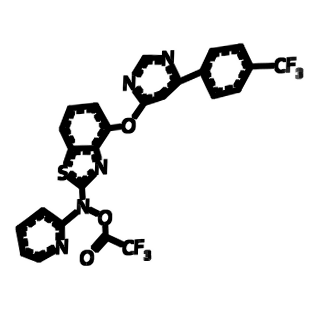 O=C(ON(c1ccccn1)c1nc2c(Oc3cc(-c4ccc(C(F)(F)F)cc4)ncn3)cccc2s1)C(F)(F)F